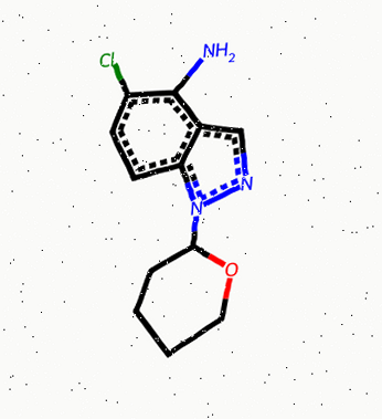 Nc1c(Cl)ccc2c1cnn2C1CCCCO1